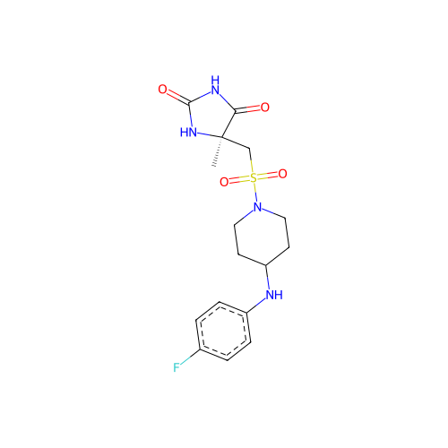 C[C@]1(CS(=O)(=O)N2CCC(Nc3ccc(F)cc3)CC2)NC(=O)NC1=O